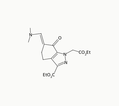 CCOC(=O)Cn1nc(C(=O)OCC)c2c1C(=O)C(=CN(C)C)CC2